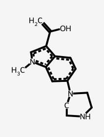 C=C(O)c1cn(C)c2cc(N3CCNCC3)ccc12